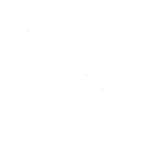 CC(C)(C)c1cc(NC(=O)Nc2ccc(Cc3ccncc3)cc2)on1